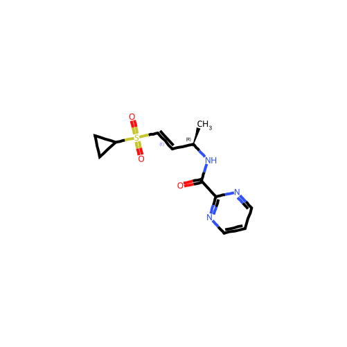 C[C@H](/C=C/S(=O)(=O)C1CC1)NC(=O)c1ncccn1